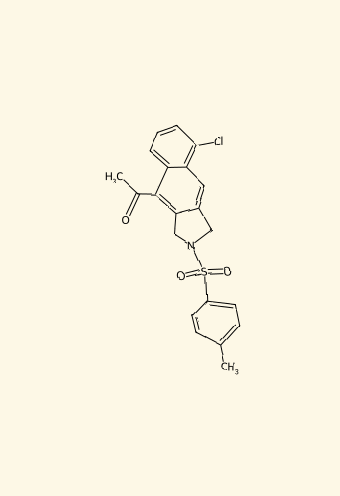 CC(=O)c1c2c(cc3c(Cl)cccc13)CN(S(=O)(=O)c1ccc(C)cc1)C2